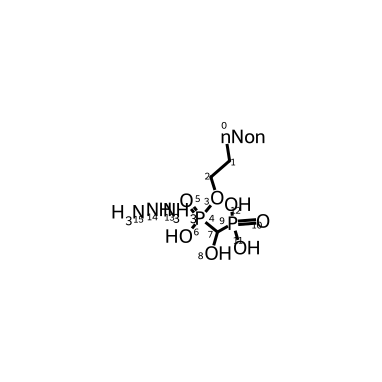 CCCCCCCCCCCOP(=O)(O)C(O)P(=O)(O)O.N.N.N